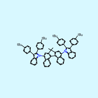 CC(C)(C)c1ccc(-c2c(-c3ccc(C(C)(C)C)cc3)n(-c3cc4c(c5ccccc35)-c3c(cc(-n5c(-c6ccc(C(C)(C)C)cc6)c(-c6ccc(C(C)(C)C)cc6)c6ccccc65)c5ccccc35)C4(C)C)c3ccccc23)cc1